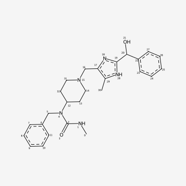 CNC(=O)N(Cc1ccccc1)C1CCN(Cc2nc(C(O)c3ccccc3)[nH]c2C)CC1